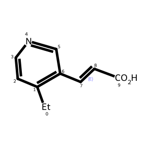 CCc1ccncc1/C=C/C(=O)O